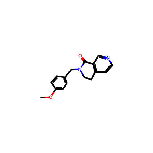 COc1ccc(CN2CCc3ccncc3C2=O)cc1